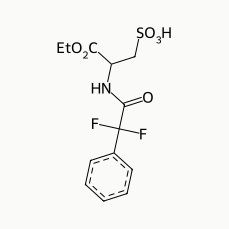 CCOC(=O)C(CS(=O)(=O)O)NC(=O)C(F)(F)c1ccccc1